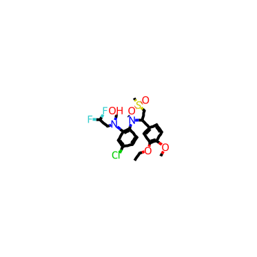 CCOc1cc(C(CS(C)(=O)=O)N(C)c2ccc(Cl)cc2N(CO)CC(F)F)ccc1OC